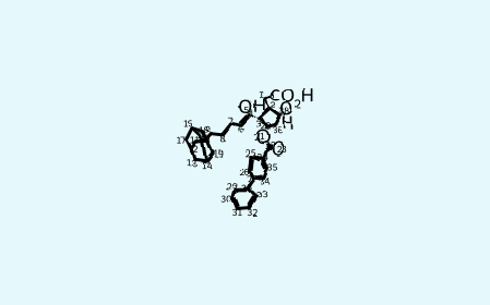 O=C(O)C[C@@H]1[C@@H](C(O)=CCCCC23CC4CC(CC(C4)C2)C3)[C@H](OC(=O)c2ccc(-c3ccccc3)cc2)C[C@@H]1O